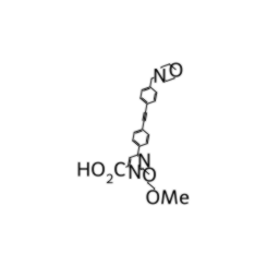 COCCOc1nc(C(=O)O)cc(-c2ccc(C#Cc3ccc(CN4CCOCC4)cc3)cc2)n1